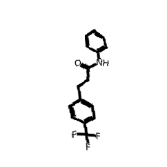 O=C(CCc1ccc(C(F)(F)F)cc1)Nc1ccccc1